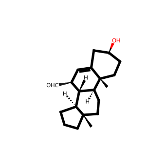 C[C@@]12CCC[C@H]1[C@@H]1[C@@H](C=O)C=C3C[C@@H](O)CC[C@]3(C)[C@H]1CC2